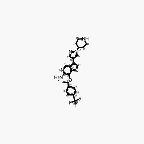 CC(Oc1c(N)ncc2c(-c3cnn(C4CCNCC4)c3)coc12)c1ccc(C(F)(F)F)cc1